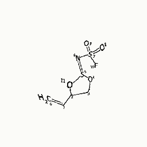 C=CC1COS(=NS(=O)(=O)F)O1